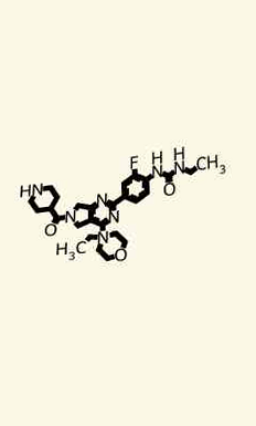 CCNC(=O)Nc1ccc(-c2nc3c(c([N+]4(CC)CCOCC4)n2)CN(C(=O)C2CCNCC2)C3)cc1F